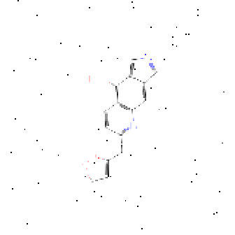 OC1C2=CN=CC2=Cc2nc(CC3=CCOO3)ccc21